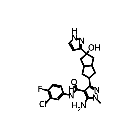 Cn1nc(C2CC3CC(O)(c4cc[nH]n4)CC3C2)c(C(=O)Nc2ccc(F)c(Cl)c2)c1N